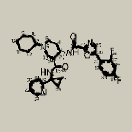 O=C(N[C@H]1CCN(C2CCCCC2)C[C@@H]1C(=O)NC1(c2ccccn2)CC1)c1ncc(-c2ccc(F)cc2F)o1